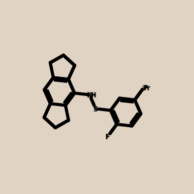 CC(C)c1ccc(F)c(SNc2c3c(cc4c2CCC4)CCC3)c1